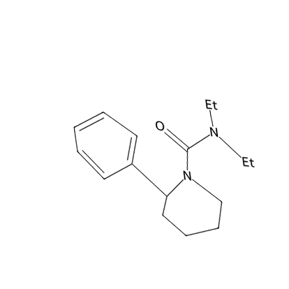 CCN(CC)C(=O)N1CCCCC1c1ccccc1